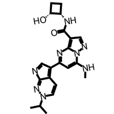 CNc1cc(-c2cnc3nn(C(C)C)ccc2-3)nc2c(C(=O)N[C@H]3CC[C@H]3O)cnn12